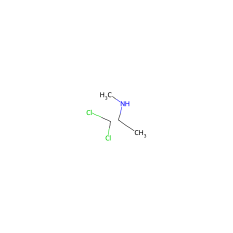 CCNC.ClCCl